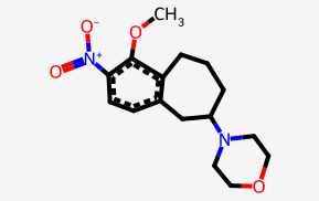 COc1c([N+](=O)[O-])ccc2c1CCCC(N1CCOCC1)C2